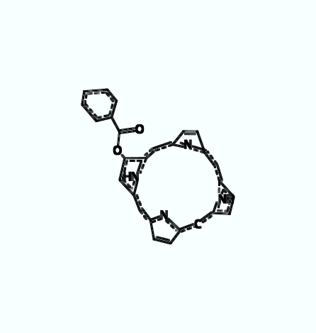 O=C(Oc1cc2cc3nc(cc4ccc(cc5nc(cc1[nH]2)C=C5)[nH]4)C=C3)c1ccccc1